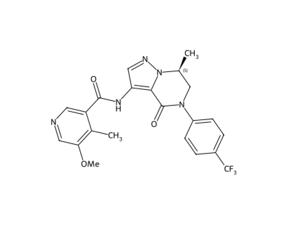 COc1cncc(C(=O)Nc2cnn3c2C(=O)N(c2ccc(C(F)(F)F)cc2)C[C@@H]3C)c1C